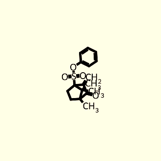 C=C1C(=O)C2(C)CCC1(S(=O)(=O)Oc1ccccc1)C2(C)C